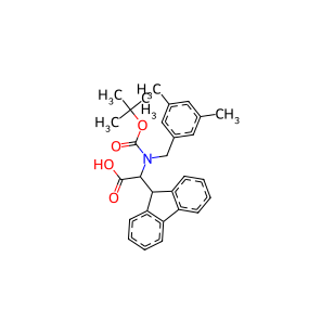 Cc1cc(C)cc(CN(C(=O)OC(C)(C)C)C(C(=O)O)C2c3ccccc3-c3ccccc32)c1